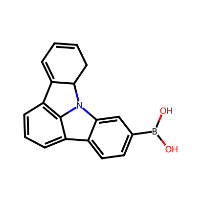 OB(O)c1ccc2c3cccc4c3n(c2c1)C1CC=CC=C41